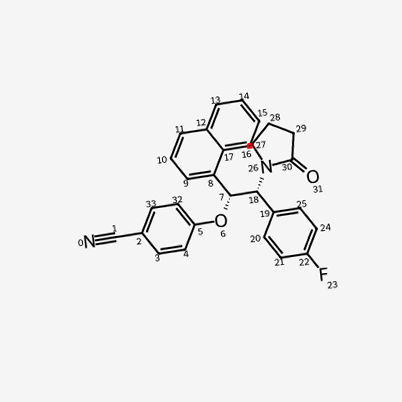 N#Cc1ccc(O[C@H](c2cccc3ccccc23)[C@@H](c2ccc(F)cc2)N2CCCC2=O)cc1